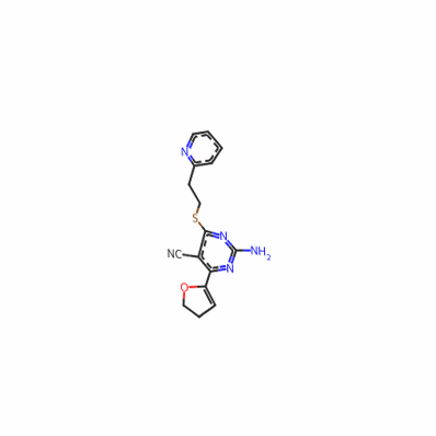 N#Cc1c(SCCc2ccccn2)nc(N)nc1C1=CCCO1